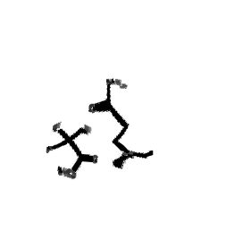 CN(C)CCC(N)=O.O=C(O)C(F)(F)F